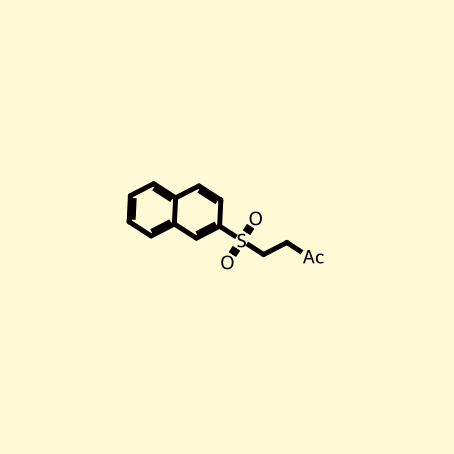 CC(=O)CCS(=O)(=O)c1ccc2ccccc2c1